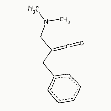 CN(C)CC(=C=O)Cc1ccccc1